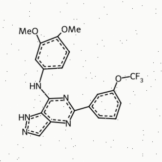 COc1ccc(Nc2nc(-c3cccc(OC(F)(F)F)c3)nc3cn[nH]c23)cc1OC